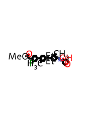 CCC(CC)(c1ccc(/C=C/C2(O)CCOCC2)c(C)c1)c1ccc(-c2ccc(CC(=O)OC)c(F)c2)c(C)c1